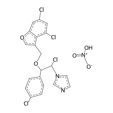 Clc1ccc(C(OCc2coc3cc(Cl)cc(Cl)c23)C(Cl)n2ccnc2)cc1.O=[N+]([O-])O